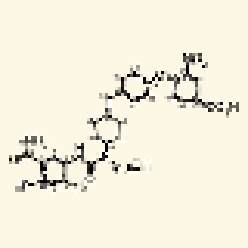 CCCCN(C(=O)Nc1cc(C(N)=O)c(F)cc1F)C1CCN(Cc2ccc(Oc3ccc(C(=O)O)cc3[N+](=O)[O-])cc2)CC1.Cl